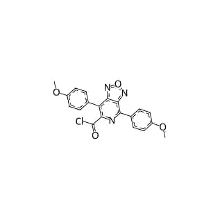 COc1ccc(-c2nc(C(=O)Cl)c(-c3ccc(OC)cc3)c3nonc23)cc1